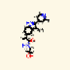 Cc1cc(-c2[nH]c3ccc(C(C)C(=O)NCC(C)(C)O)cc3c2C(C)C)ccn1